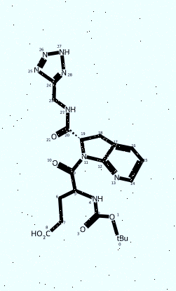 CC(C)(C)OC(=O)NC(CCC(=O)O)C(=O)N1c2ncccc2C[C@H]1C(=O)NCc1nn[nH]n1